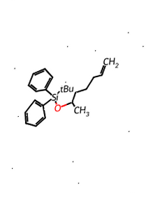 C=CCCCC(C)O[Si](c1ccccc1)(c1ccccc1)C(C)(C)C